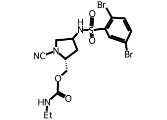 CCNC(=O)OC[C@H]1CC(NS(=O)(=O)c2cc(Br)ccc2Br)CN1C#N